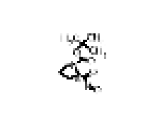 CC(C)(C)OC(=O)N1CCC[C@H]1C(=O)N=O